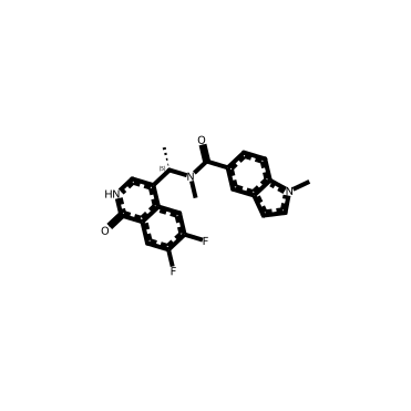 C[C@@H](c1c[nH]c(=O)c2cc(F)c(F)cc12)N(C)C(=O)c1ccc2c(ccn2C)c1